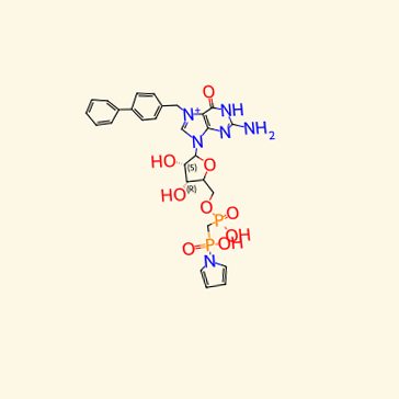 Nc1nc2c(c(=O)[nH]1)[n+](Cc1ccc(-c3ccccc3)cc1)cn2C1OC(COP(=O)(O)CP(=O)(O)n2cccc2)[C@H](O)[C@@H]1O